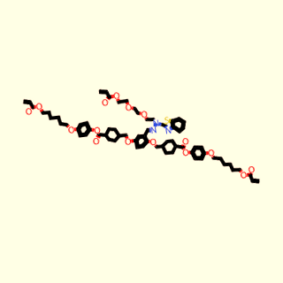 C=CC(=O)OCCCCCCOc1ccc(OC(=O)C2CCC(COc3ccc(OCC4CCC(C(=O)Oc5ccc(OCCCCCCOC(=O)C=C)cc5)CC4)c(/C=N/N(CCOCCOCCOC(=O)C=C)c4nc5ccccc5s4)c3)CC2)cc1